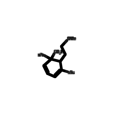 CCCCC1=CC=CC(CCC)(C(=O)O)C1CCOC